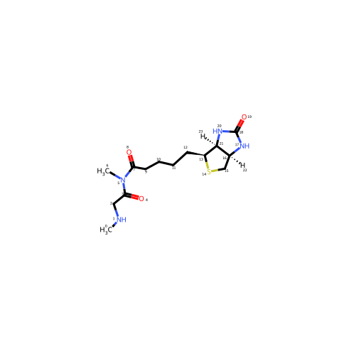 CNCC(=O)N(C)C(=O)CCCC[C@@H]1SC[C@@H]2NC(=O)N[C@@H]21